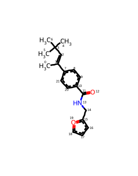 C/C(=C\C(C)(C)C)c1ccc(C(=O)NCc2ccco2)cc1